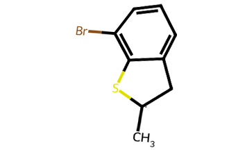 C[C]1Cc2cccc(Br)c2S1